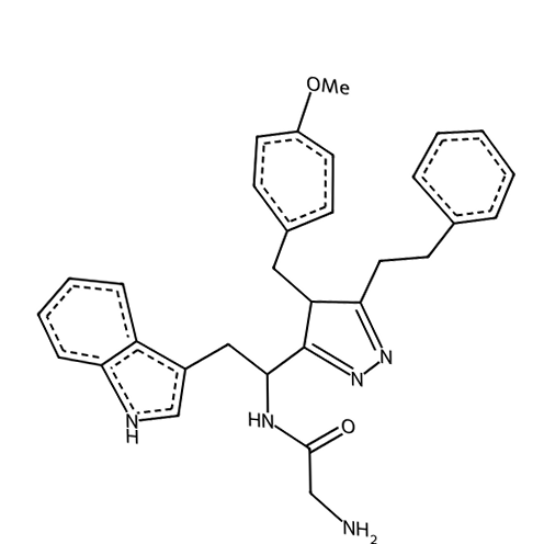 COc1ccc(CC2C(CCc3ccccc3)=NN=C2C(Cc2c[nH]c3ccccc23)NC(=O)CN)cc1